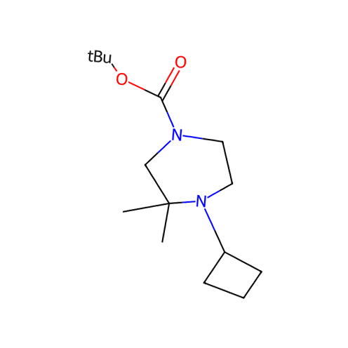 CC(C)(C)OC(=O)N1CCN(C2CCC2)C(C)(C)C1